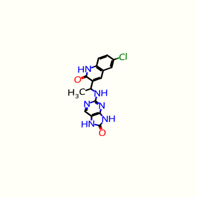 CC(Nc1ncc2[nH]c(=O)[nH]c2n1)c1cc2cc(Cl)ccc2[nH]c1=O